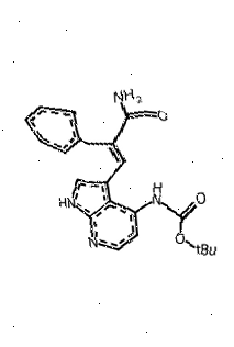 CC(C)(C)OC(=O)Nc1ccnc2[nH]cc(C=C(C(N)=O)c3ccccc3)c12